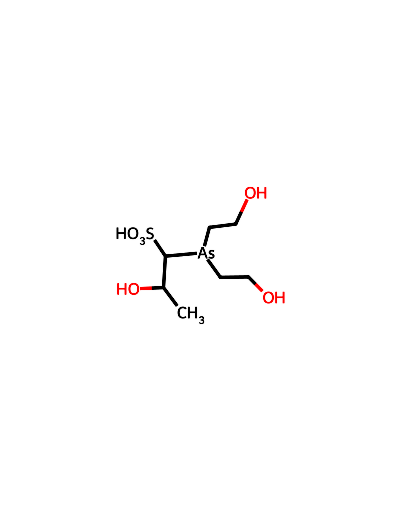 CC(O)C([As](CCO)CCO)S(=O)(=O)O